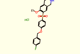 CCOc1cc2c(cc1S(=O)(=O)c1ccc(OCc3ccc(F)cc3)cc1)CNCC2.Cl